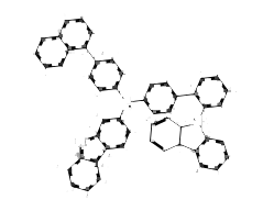 C1=CC2c3ccccc3N(c3ccccc3-c3ccc(N(c4ccc(-c5cccc6ccccc56)cc4)c4ccc5c(c4)oc4ccccc45)cc3)C2C=C1